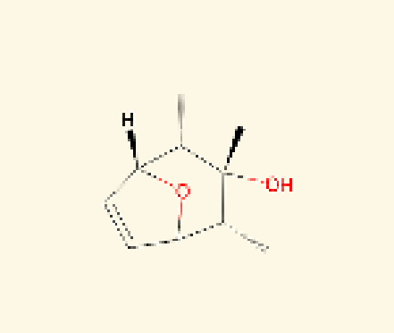 C[C@@H]1C2C=C[C@@H](O2)[C@H](C)[C@]1(C)O